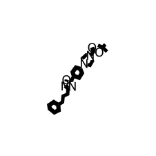 CC(C)(C)OC(=O)N1CCN(c2ccc(-c3nc(CCCc4ccccc4)no3)cc2)CC1